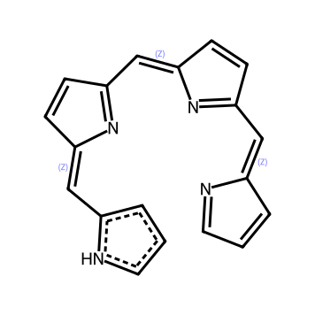 C1=C/C(=C/C2=NC(=C\C3=NC(=C\c4ccc[nH]4)/C=C3)/C=C2)N=C1